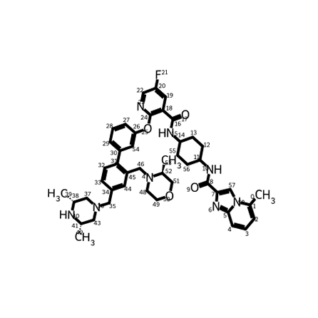 Cc1cccc2nc(C(=O)NC3CCC(NC(=O)c4cc(F)cnc4Oc4cccc(-c5ccc(CN6C[C@@H](C)N[C@@H](C)C6)cc5CN5CCOC[C@@H]5C)c4)CC3)cn12